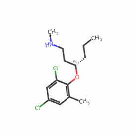 CCC[C@@H](CCNC)Oc1c(C)cc(Cl)cc1Cl